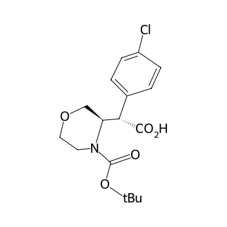 CC(C)(C)OC(=O)N1CCOC[C@H]1[C@@H](C(=O)O)c1ccc(Cl)cc1